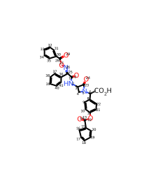 O=C(NC1CN(C(C(=O)O)c2ccc(OC(=O)c3ccccc3)cc2)C1=O)/C(=N/OC(=O)c1ccccc1)c1ccccc1